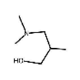 CC(CO)CN(C)C